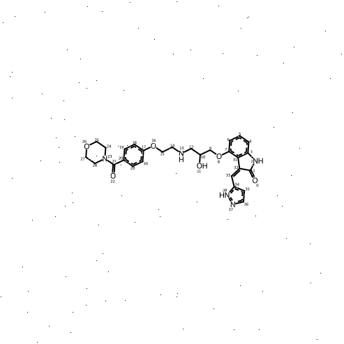 O=C1Nc2cccc(OCC(O)CNCCOc3ccc(C(=O)N4CCOCC4)cc3)c2C1=Cc1ccn[nH]1